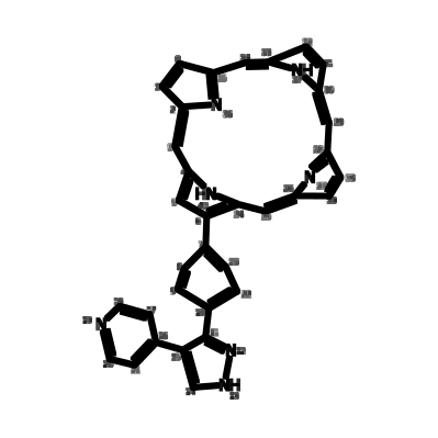 C1=Cc2cc3cc(-c4ccc(-c5n[nH]cc5-c5ccncc5)cc4)c(cc4nc(cc5ccc(cc1n2)[nH]5)C=C4)[nH]3